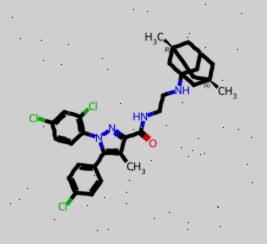 Cc1c(C(=O)NCCNC23CC4C[C@@](C)(C2)C[C@](C)(C4)C3)nn(-c2ccc(Cl)cc2Cl)c1-c1ccc(Cl)cc1